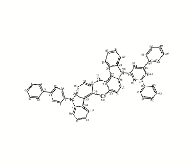 c1ccc(-c2ccc(-n3c4ccccc4c4c5c(ccc43)Oc3c(ccc4c3c3ccccc3n4-c3nc(-c4ccccc4)nc(-c4ccccc4)n3)O5)cc2)cc1